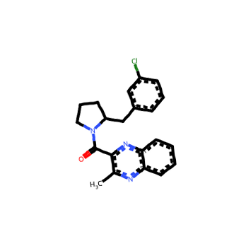 Cc1nc2ccccc2nc1C(=O)N1CCCC1Cc1cccc(Cl)c1